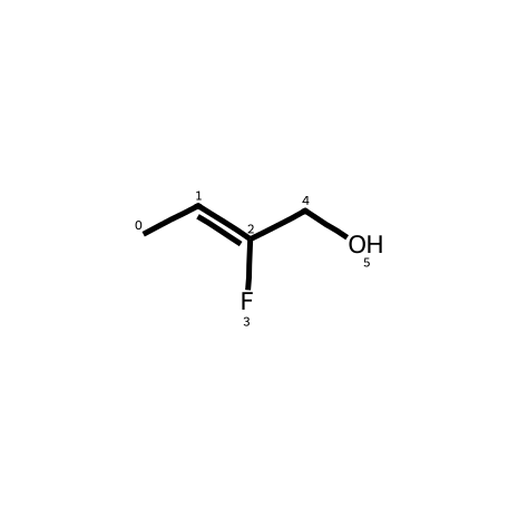 CC=C(F)CO